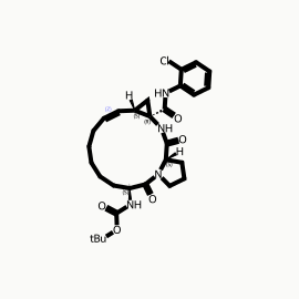 CC(C)(C)OC(=O)N[C@H]1CCCCC/C=C\[C@@H]2C[C@@]2(C(=O)Nc2ccccc2Cl)NC(=O)[C@@H]2CCCN2C1=O